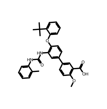 COc1ccc(-c2ccc(Oc3ccccc3C(C)(C)C)c(NC(=O)Nc3ccccc3C)c2)cc1C(=O)O